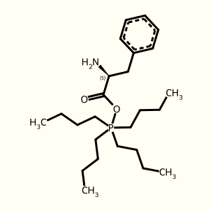 CCCCP(CCCC)(CCCC)(CCCC)OC(=O)[C@@H](N)Cc1ccccc1